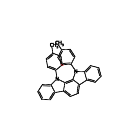 Cc1ccc(-n2c3ccccc3c3ccc4c5ccccc5n(-c5ccc(C)cc5)c4c32)cc1